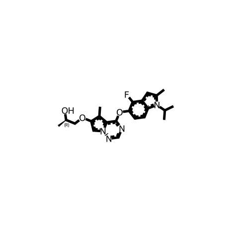 Cc1c(OC[C@@H](C)O)cn2ncnc(Oc3ccc4c(cc(C)n4C(C)C)c3F)c12